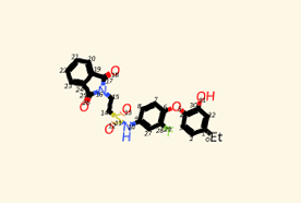 CCc1ccc(Oc2ccc(NS(=O)(=O)CCN3C(=O)c4ccccc4C3=O)cc2F)c(O)c1